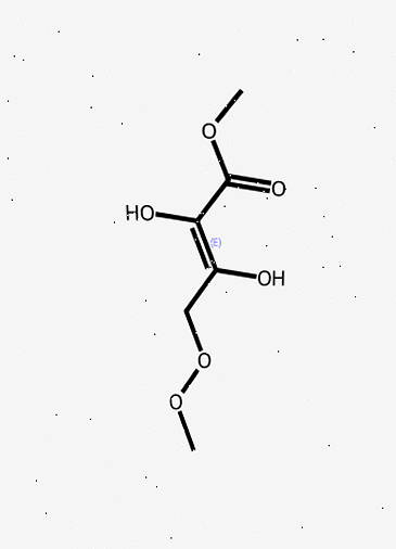 COOC/C(O)=C(\O)C(=O)OC